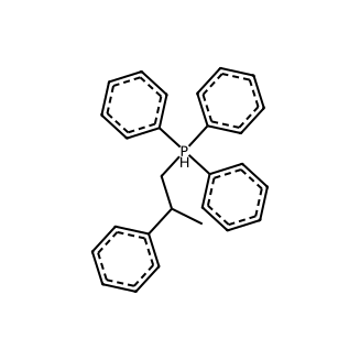 CC(C[PH](c1ccccc1)(c1ccccc1)c1ccccc1)c1ccccc1